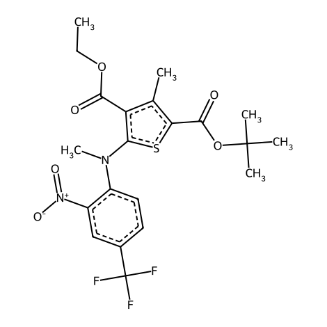 CCOC(=O)c1c(N(C)c2ccc(C(F)(F)F)cc2[N+](=O)[O-])sc(C(=O)OC(C)(C)C)c1C